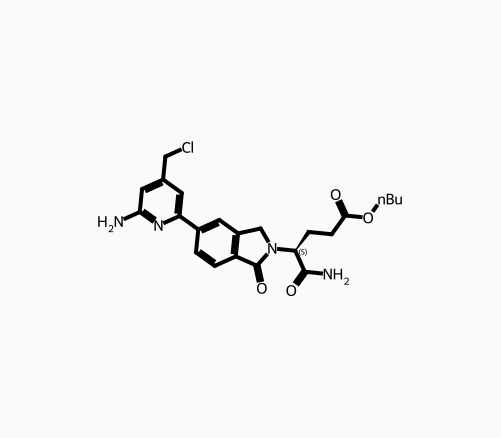 CCCCOC(=O)CC[C@@H](C(N)=O)N1Cc2cc(-c3cc(CCl)cc(N)n3)ccc2C1=O